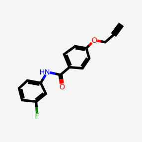 C#CCOc1ccc(C(=O)Nc2cccc(F)c2)cc1